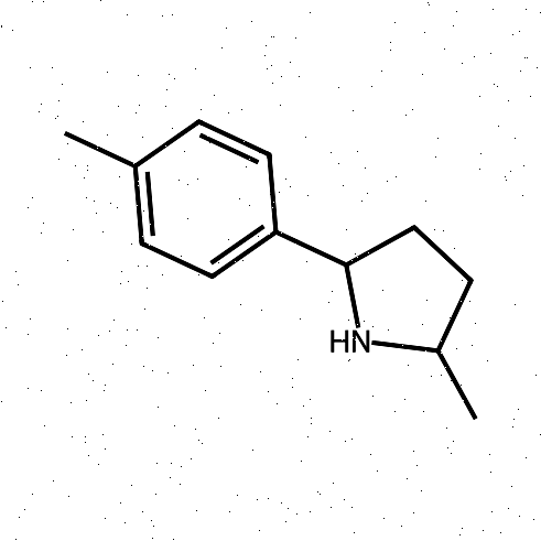 Cc1ccc(C2CCC(C)N2)cc1